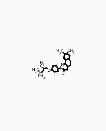 Cc1cc2c(cc1C)-c1nn(-c3ccc(OCC(C)CN(C)C)cc3)c(=O)cc1CC2